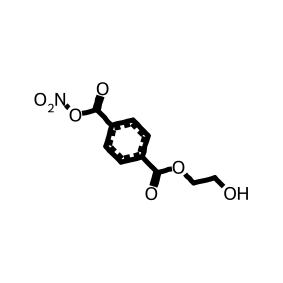 O=C(OCCO)c1ccc(C(=O)O[N+](=O)[O-])cc1